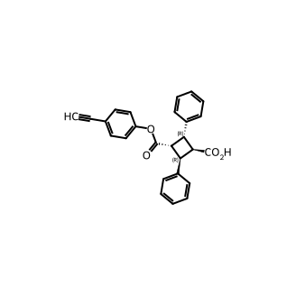 C#Cc1ccc(OC(=O)[C@H]2[C@H](c3ccccc3)[C@H](C(=O)O)[C@H]2c2ccccc2)cc1